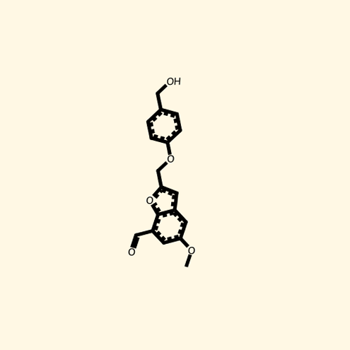 COc1cc(C=O)c2oc(COc3ccc(CO)cc3)cc2c1